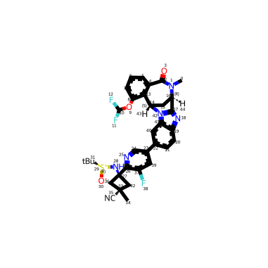 CN1C(=O)c2cccc(OC(F)F)c2[C@@H]2C[C@@H]1c1nc3ccc(-c4cnc([C@]5(N[S@@+]([O-])C(C)(C)C)C[C@@](C)(C#N)C5)c(F)c4)cc3n12